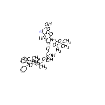 CC(C)(CCO[Si](c1ccccc1)(c1ccccc1)C(C)(C)C)COS(O)(O)CCOC[C@@H]1C[C@H](NC(=O)/C=C\C(=O)O)C(=O)N1CC(=O)OC(C)(C)C